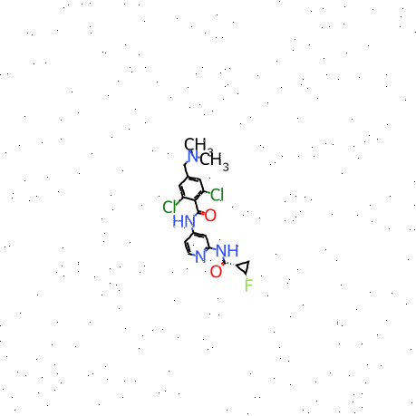 CN(C)Cc1cc(Cl)c(C(=O)Nc2ccnc(NC(=O)[C@@H]3C[C@@H]3F)c2)c(Cl)c1